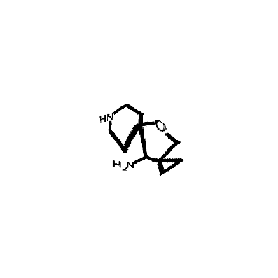 NC1C2(CC2)COC12CCNCC2